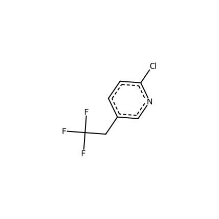 FC(F)(F)Cc1ccc(Cl)nc1